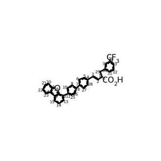 O=C(O)C(/C=C/c1ccc(-c2ccc(-c3cccc4c3oc3ccccc34)cc2)cc1)Cc1cccc(C(F)(F)F)c1